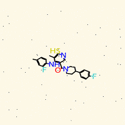 Cc1ccc(Nc2c(C(=O)N3CCC(c4ccc(F)cc4)CC3)cnc(S)c2C)c(F)c1